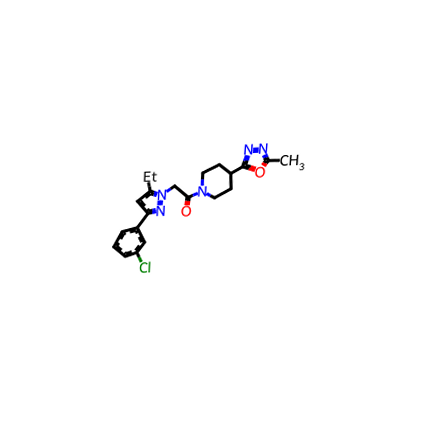 CCc1cc(-c2cccc(Cl)c2)nn1CC(=O)N1CCC(c2nnc(C)o2)CC1